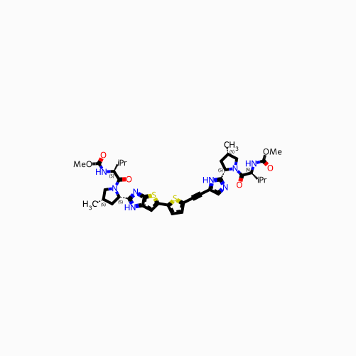 COC(=O)N[C@H](C(=O)N1C[C@@H](C)C[C@H]1c1ncc(C#Cc2ccc(-c3cc4[nH]c([C@@H]5C[C@H](C)CN5C(=O)[C@@H](NC(=O)OC)C(C)C)nc4s3)s2)[nH]1)C(C)C